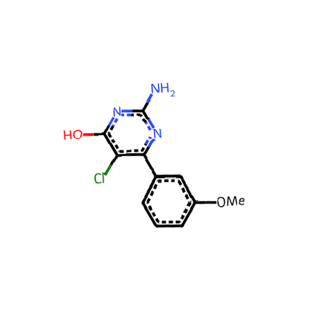 COc1cccc(-c2nc(N)nc(O)c2Cl)c1